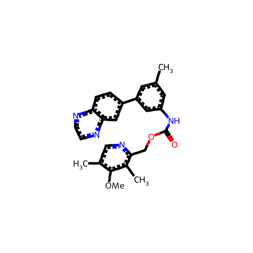 COc1c(C)cnc(COC(=O)Nc2cc(C)cc(-c3ccc4nccnc4c3)c2)c1C